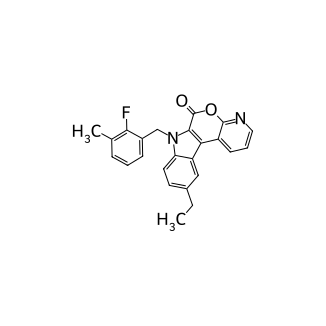 CCc1ccc2c(c1)c1c3cccnc3oc(=O)c1n2Cc1cccc(C)c1F